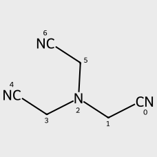 N#CCN(CC#N)CC#N